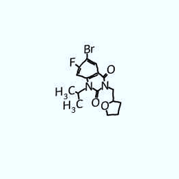 CC(C)n1c(=O)n(CC2CCCO2)c(=O)c2cc(Br)c(F)cc21